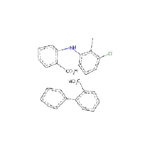 Cc1c(Cl)cccc1Nc1ccccc1C(=O)O.O=C(O)c1ccccc1-c1ccccc1